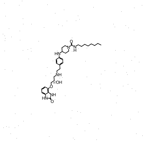 CCCCCCCCNC(=O)N1CCC(Nc2ccc(CCNC[C@H](O)COc3cccc4[nH]c(=O)[nH]c34)cc2)CC1